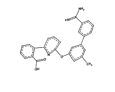 Cc1cc(Oc2cccc(-c3ccccc3C(=O)O)n2)cc(-c2cccc(C(=N)N)c2)c1